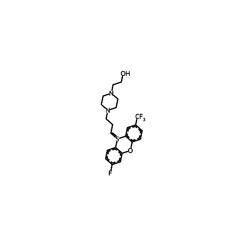 OCCN1CCN(CCC=S2c3ccc(F)cc3Oc3ccc(C(F)(F)F)cc32)CC1